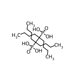 CCCCC(CCCC)(C(CCCC)(CCCC)P(=O)(O)O)P(=O)(O)O